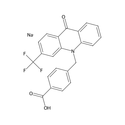 O=C(O)c1ccc(Cn2c3ccccc3c(=O)c3ccc(C(F)(F)F)cc32)cc1.[Na]